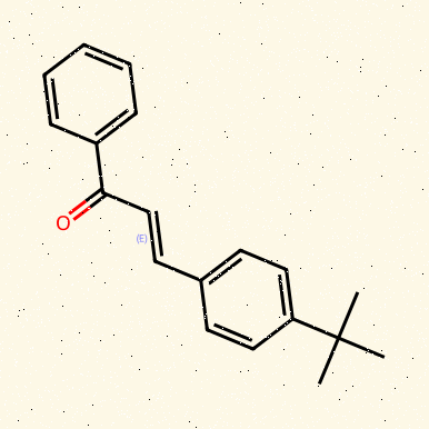 CC(C)(C)c1ccc(/C=C/C(=O)c2ccccc2)cc1